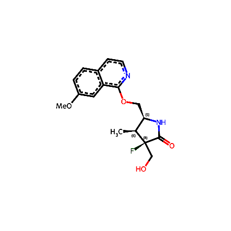 COc1ccc2ccnc(OC[C@H]3NC(=O)[C@](F)(CO)[C@H]3C)c2c1